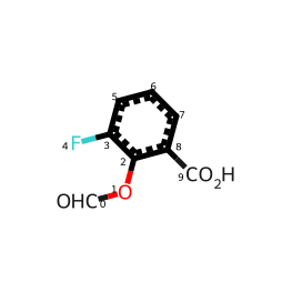 O=COc1c(F)cccc1C(=O)O